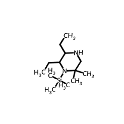 CCC1NCC(C)(C)N([Si](C)(C)C)C1CC